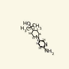 CC(C)(O)C1CCN(c2ccc(N)nc2)CC1